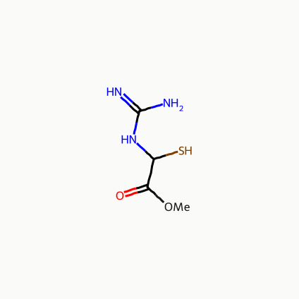 COC(=O)C(S)NC(=N)N